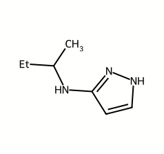 CCC(C)Nc1cc[nH]n1